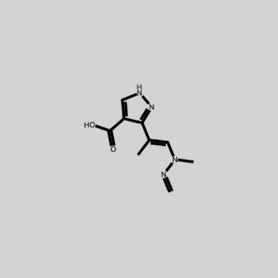 C=NN(C)/C=C(\C)c1n[nH]cc1C(=O)O